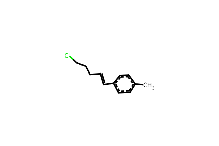 Cc1ccc(C=CCCCCl)cc1